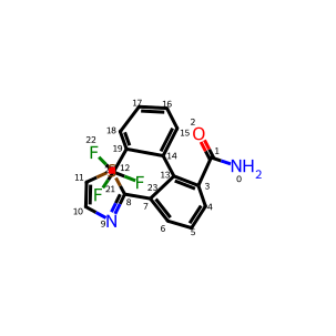 NC(=O)c1cccc(-c2nccs2)c1-c1ccccc1C(F)(F)F